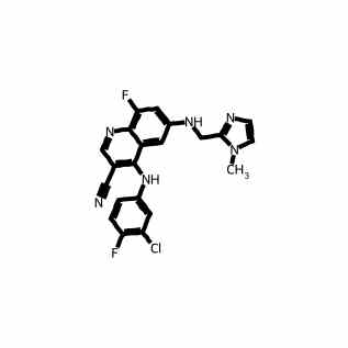 Cn1ccnc1CNc1cc(F)c2ncc(C#N)c(Nc3ccc(F)c(Cl)c3)c2c1